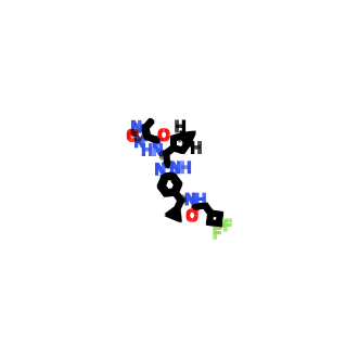 Cc1nonc1C(=O)N[C@H](c1nc2ccc([C@H](NC(=O)CC3CC(F)(F)C3)C3CC3)cc2[nH]1)C1C[C@@H]2C[C@@H]2C1